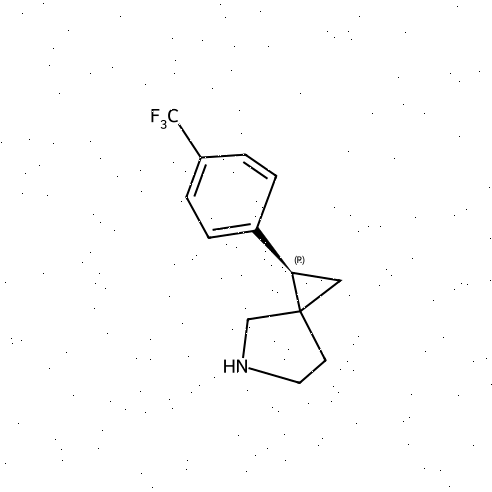 FC(F)(F)c1ccc([C@H]2CC23CCNC3)cc1